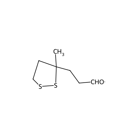 CC1(CC[C]=O)CCSS1